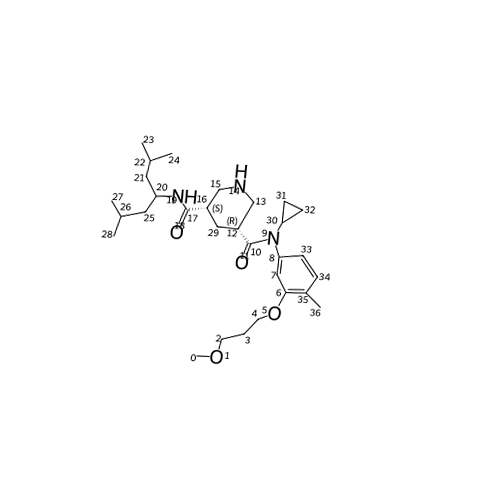 COCCCOc1cc(N(C(=O)[C@H]2CNC[C@@H](C(=O)NC(CC(C)C)CC(C)C)C2)C2CC2)ccc1C